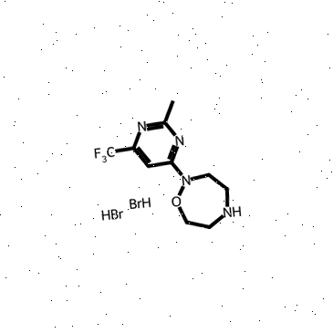 Br.Br.Cc1nc(N2CCNCCO2)cc(C(F)(F)F)n1